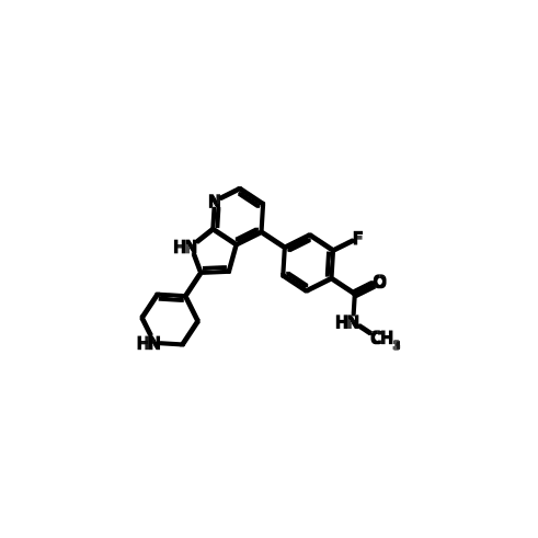 CNC(=O)c1ccc(-c2ccnc3[nH]c(C4=CCNCC4)cc23)cc1F